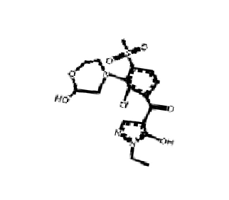 CCn1ncc(C(=O)c2ccc(S(C)(=O)=O)c(N3CCOC(O)C3)c2Cl)c1O